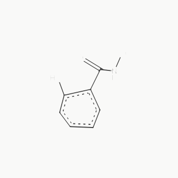 CCNC(=O)c1ccccc1S